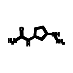 NN[C@@H]1CC[C@H](NC(N)=O)C1